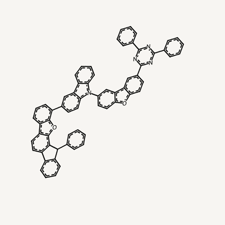 c1ccc(-c2nc(-c3ccccc3)nc(-c3ccc4oc5ccc(-n6c7ccccc7c7cc(-c8cccc9c8oc8c%10c(ccc89)-c8ccccc8C%10c8ccccc8)ccc76)cc5c4c3)n2)cc1